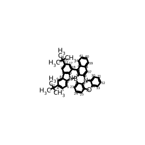 CC(C)(C)c1ccc2c(c1)c1cc(C(C)(C)C)cc3c1n2B1c2cccc4c2N(c2ccccc2O4)c2cc4ccccc4c-3c21